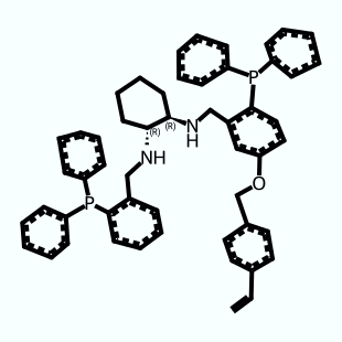 C=Cc1ccc(COc2ccc(P(c3ccccc3)c3ccccc3)c(CN[C@@H]3CCCC[C@H]3NCc3ccccc3P(c3ccccc3)c3ccccc3)c2)cc1